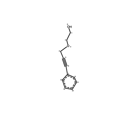 OCCOCC#Cc1ccccc1